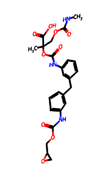 CNC(=O)OCC(C)(OC(=O)Nc1cccc(Cc2cccc(NC(=O)OCC3CO3)c2)c1)C(=O)O